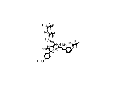 CCCCC(NC(=O)[C@@H](CCC(F)(F)F)NC(=O)[C@H](N)Cc1ccccc1)C(=O)N1CCC(C(=O)O)CC1.O=C(O)C(F)(F)F.O=C(O)C(F)(F)F.O=C(O)C(F)(F)F